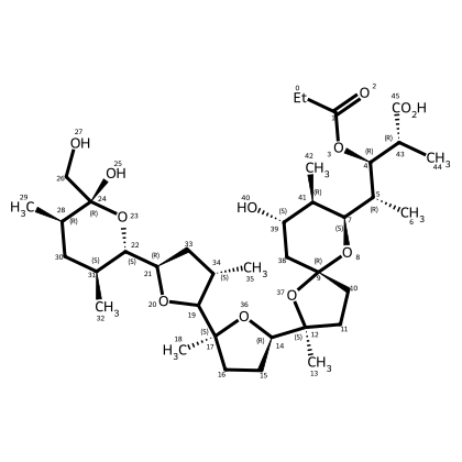 CCC(=O)O[C@H]([C@H](C)[C@H]1O[C@@]2(CC[C@@](C)([C@H]3CC[C@@](C)(C4O[C@@H]([C@H]5O[C@@](O)(CO)[C@H](C)C[C@@H]5C)C[C@@H]4C)O3)O2)C[C@H](O)[C@H]1C)[C@@H](C)C(=O)O